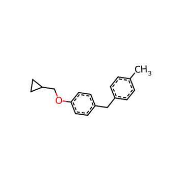 Cc1ccc(Cc2ccc(OCC3CC3)cc2)cc1